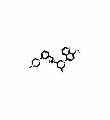 CC1CC(NCc2cccc(N3CCN(C)CC3)c2)CN(c2ccc(C#N)c3ncccc23)C1